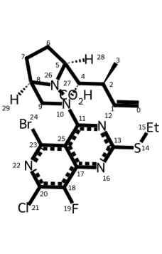 C=C[C@H](C)[C@H]1[C@@H]2CC[C@H](CN1c1nc(SCC)nc3c(F)c(Cl)nc(Br)c13)N2C(=O)O